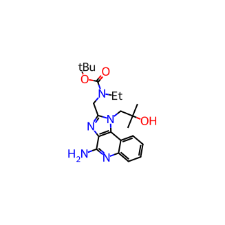 CCN(Cc1nc2c(N)nc3ccccc3c2n1CC(C)(C)O)C(=O)OC(C)(C)C